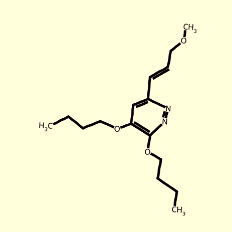 CCCCOc1cc(/C=C/COC)nnc1OCCCC